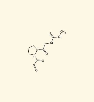 COC(=O)NCC(=O)N1CCC[C@H]1C(=O)N=O